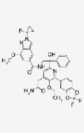 CCOc1c(CC(N)=O)cc([C@@](O)(CNC(=O)c2cc(OC)c3nn(C4(F)CC4)cc3c2)c2ccccc2)nc1-c1ccc2c(c1)OC(F)(F)O2